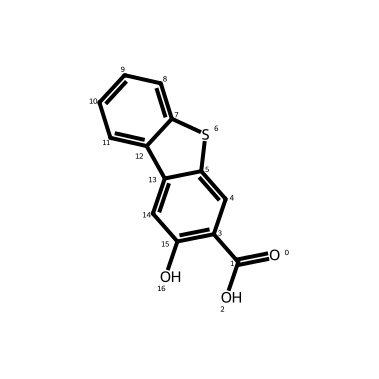 O=C(O)c1cc2sc3ccccc3c2cc1O